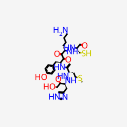 C=C(N[C@@H](Cc1ccc(O)cc1)C(=O)C(=O)[C@H](CCCCN)NN[C@H](C=O)CS)[C@H](CCSC)NN[C@@H](Cc1c[nH]cn1)C(=O)CO